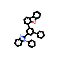 c1ccc(-c2cc(-c3cccc4c3oc3ccccc34)cc(-c3nc4ccccc4n3-c3ccccc3)c2)cc1